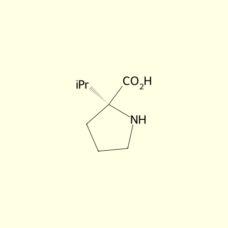 CC(C)[C@@]1(C(=O)O)CCCN1